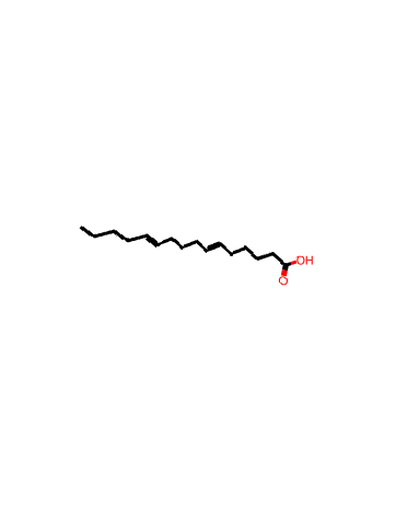 CCCC/C=C/CCC/C=C/CCCCC(=O)O